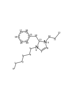 CCCCCCN1C=CN(CCC)C1Cc1ccccc1